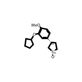 COc1ccc([C@@H]2CC[S@+]([O-])C2)cc1OC1CCCC1